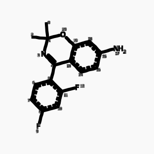 CC1(C)N=C(c2ccc(F)cc2F)c2ccc(N)cc2O1